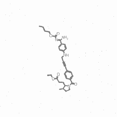 CCCCOC(=O)N=C(N)c1ccc(NCC#Cc2ccc(C(=O)N3CCC(C)C3CCC(=O)OCC)cc2)cc1